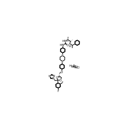 CC(N[C@@H](C)[C@H](C)NC(=O)Nc1ccc(N2CCN(c3ccc(OC[C@@H]4COC(Cn5cncn5)(c5ccc(F)cc5F)O4)cc3)CC2)cc1)c1ccccc1.Cl.Cl.Cl.O